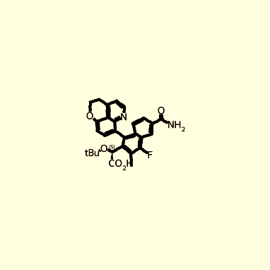 Cc1c([C@H](OC(C)(C)C)C(=O)O)c(-c2ccc3c4c(ccnc24)CCO3)c2ccc(C(N)=O)cc2c1F